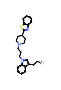 CC(=O)CCc1cn(CCCN2CCC(c3nc4ccccc4s3)CC2)c2ccccc12